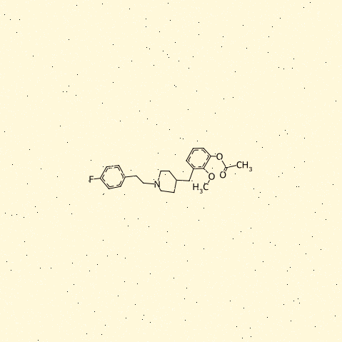 COc1c([CH]C2CCN(CCc3ccc(F)cc3)CC2)cccc1OC(C)=O